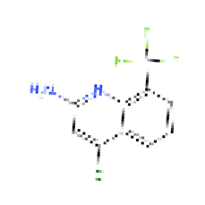 Nc1cc(Cl)c2cccc(C(F)(F)F)c2n1